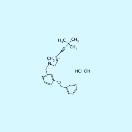 CN(C/C=C/C#CC(C)(C)C)Cc1cc(OCc2ccccc2)ccn1.Cl.Cl